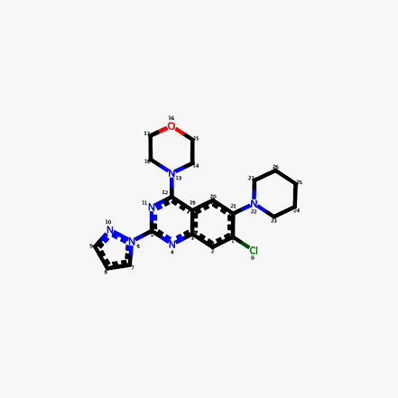 Clc1cc2nc(-n3cccn3)nc(N3CCOCC3)c2cc1N1CCCCC1